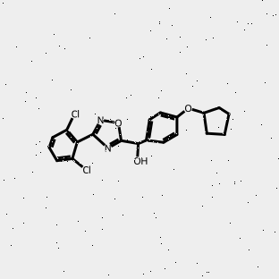 OC(c1ccc(OC2CCCC2)cc1)c1nc(-c2c(Cl)cccc2Cl)no1